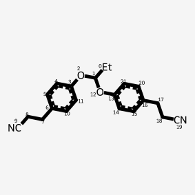 CCC(Oc1ccc(CCC#N)cc1)Oc1ccc(CCC#N)cc1